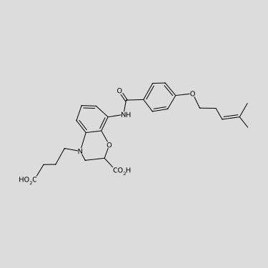 CC(C)=CCCOc1ccc(C(=O)Nc2cccc3c2OC(C(=O)O)CN3CCCC(=O)O)cc1